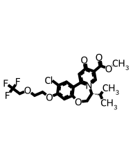 COC(=O)c1cn2c(cc1=O)-c1cc(Cl)c(OCCOCC(F)(F)F)cc1OC[C@H]2C(C)C